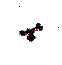 c1ccc(C2(c3ccccc3)c3ccccc3-c3cc(N(c4ccc(-c5ccc(-n6c7ccccc7c7ccccc76)cc5)cc4)c4cccc(-c5ccc6oc7ccccc7c6c5)c4)ccc32)cc1